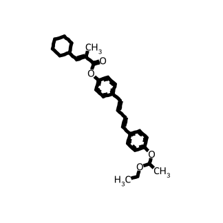 CCOC(C)Oc1ccc(C=CC=Cc2ccc(OC(=O)C(C)=CC3CCCCC3)cc2)cc1